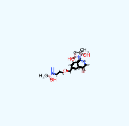 CB(O)NCCCOCc1ccc2c(N(B(C)O)B(C)O)ncc(Br)c2c1